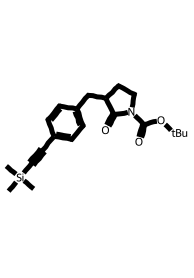 CC(C)(C)OC(=O)N1CCC(Cc2ccc(C#C[Si](C)(C)C)cc2)C1=O